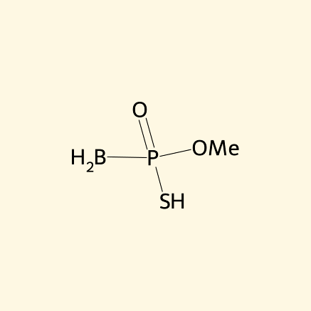 BP(=O)(S)OC